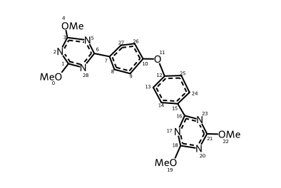 COc1nc(OC)nc(-c2ccc(Oc3ccc(-c4nc(OC)nc(OC)n4)cc3)cc2)n1